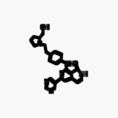 O=c1[nH]ccc2cc(-c3cncnc3)nc(Nc3ccc(CCN4CCC[C@H]4CO)cc3)c12